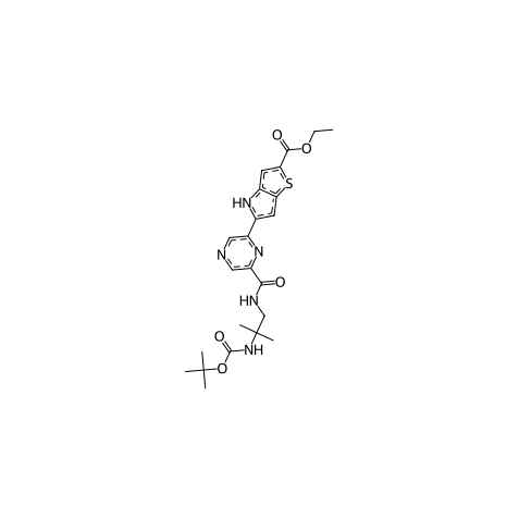 CCOC(=O)c1cc2[nH]c(-c3cncc(C(=O)NCC(C)(C)NC(=O)OC(C)(C)C)n3)cc2s1